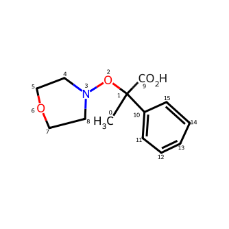 CC(ON1CCOCC1)(C(=O)O)c1ccccc1